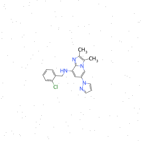 Cc1nc2c(NCc3ccccc3Cl)cc(-n3cccn3)cn2c1C